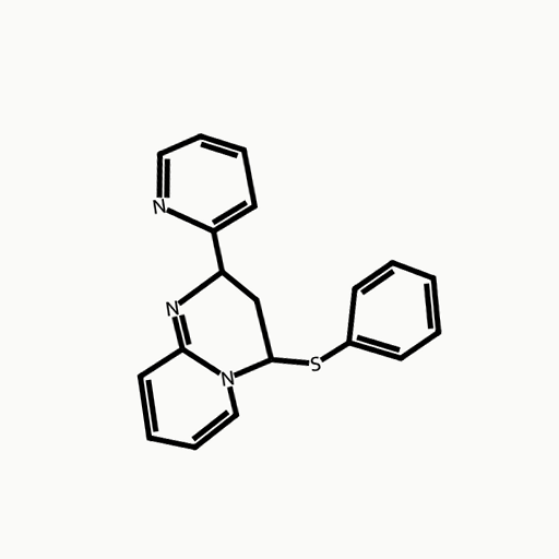 C1=CC2=NC(c3ccccn3)CC(Sc3ccccc3)N2C=C1